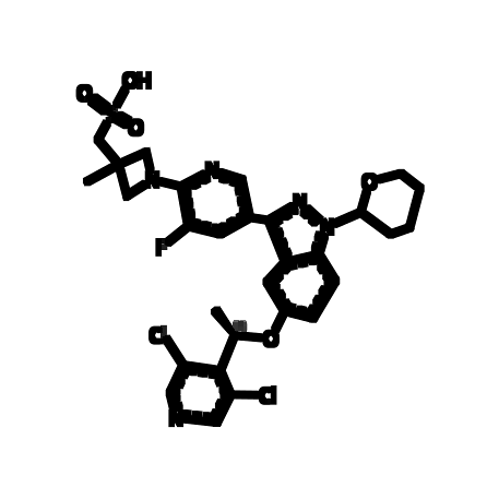 C[C@@H](Oc1ccc2c(c1)c(-c1cnc(N3CC(C)(CS(=O)(=O)O)C3)c(F)c1)nn2C1CCCCO1)c1c(Cl)cncc1Cl